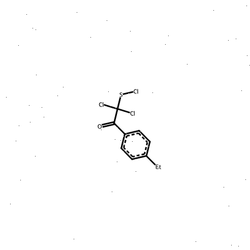 CCc1ccc(C(=O)C(Cl)(Cl)SCl)cc1